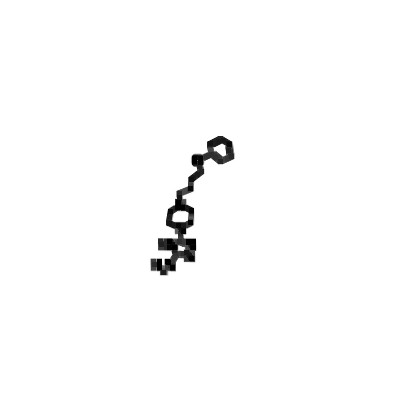 Nc1nnc(N2CCN(CCCCOc3ccccc3)CC2)[nH]1